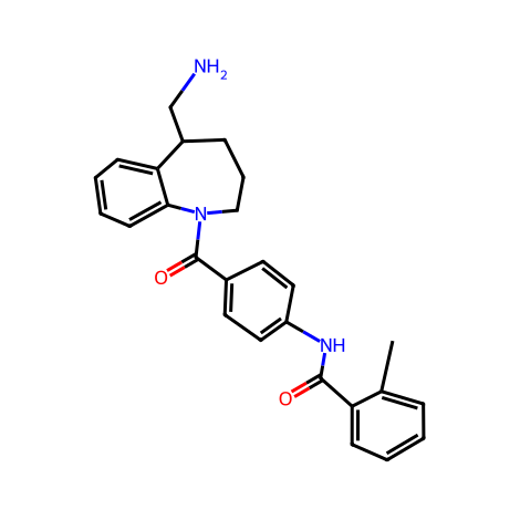 Cc1ccccc1C(=O)Nc1ccc(C(=O)N2CCCC(CN)c3ccccc32)cc1